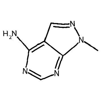 Cn1ncc2c(N)ncnc21